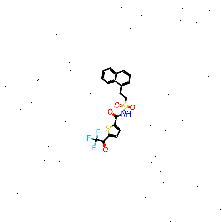 O=C(NS(=O)(=O)CCc1cccc2ccccc12)c1ccc(C(=O)C(F)(F)F)s1